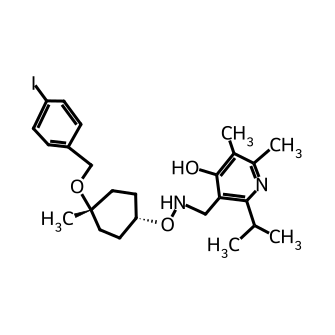 Cc1nc(C(C)C)c(CNO[C@H]2CC[C@@](C)(OCc3ccc(I)cc3)CC2)c(O)c1C